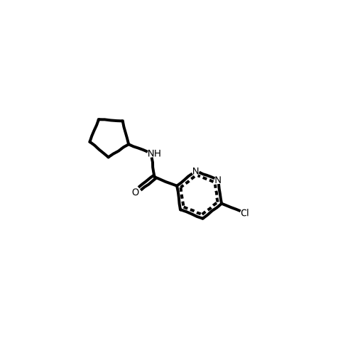 O=C(NC1CCCC1)c1ccc(Cl)nn1